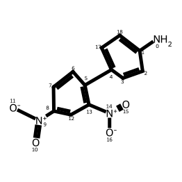 Nc1ccc(-c2ccc([N+](=O)[O-])cc2[N+](=O)[O-])cc1